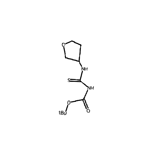 CC(C)(C)OC(=O)NC(=S)NC1CCOC1